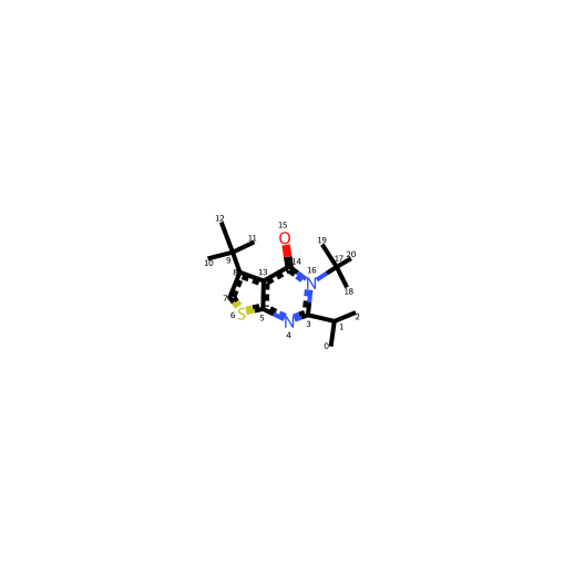 CC(C)c1nc2scc(C(C)(C)C)c2c(=O)n1C(C)(C)C